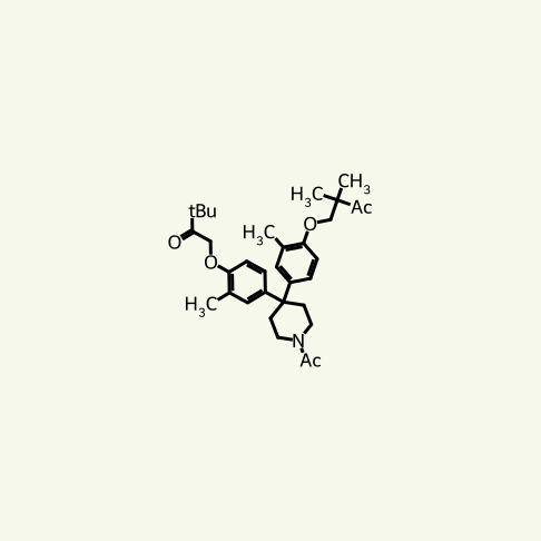 CC(=O)N1CCC(c2ccc(OCC(=O)C(C)(C)C)c(C)c2)(c2ccc(OCC(C)(C)C(C)=O)c(C)c2)CC1